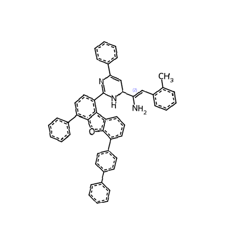 Cc1ccccc1/C=C(\N)C1C=C(c2ccccc2)N=C(c2ccc(-c3ccccc3)c3oc4c(-c5ccc(-c6ccccc6)cc5)cccc4c23)N1